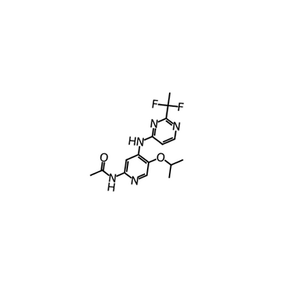 CC(=O)Nc1cc(Nc2ccnc(C(C)(F)F)n2)c(OC(C)C)cn1